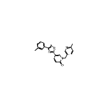 Cc1cccc(-c2noc(-c3ccc(=O)n(Cc4ccc(C)nc4)c3)n2)c1